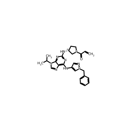 C=CC(=O)N1CC[C@@H](Nc2nc(Nc3cnn(Cc4ccccc4)c3)c3ncn(C(C)C)c3n2)C1